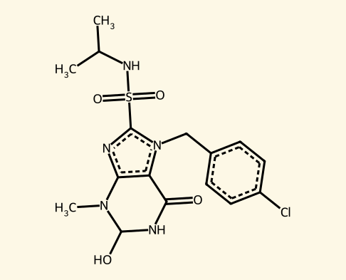 CC(C)NS(=O)(=O)c1nc2c(n1Cc1ccc(Cl)cc1)C(=O)NC(O)N2C